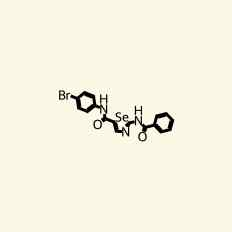 O=C(Nc1ncc(C(=O)Nc2ccc(Br)cc2)[se]1)c1ccccc1